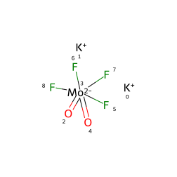 [K+].[K+].[O]=[Mo-2](=[O])([F])([F])([F])[F]